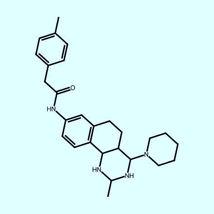 Cc1ccc(CC(=O)Nc2ccc3c(c2)CCC2C3NC(C)NC2N2CCCCC2)cc1